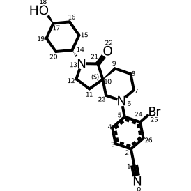 N#Cc1ccc(N2CCC[C@]3(CCN([C@H]4CC[C@H](O)CC4)C3=O)C2)c(Br)c1